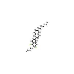 CC=CCCc1c(F)cc2cc(C3CCC4CC(CCCCCCC)CCC4C3)ccc2c1F